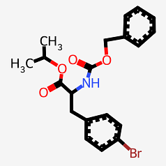 CC(C)OC(=O)C(Cc1ccc(Br)cc1)NC(=O)OCc1ccccc1